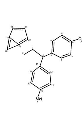 CCC(c1ccc(O)cc1)c1ccc(O)cc1.c1cc2cc-2c1